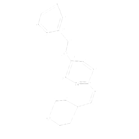 C(=C/C1CCOCC1)/c1ccc(OCc2ccccc2)cn1